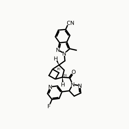 Cc1c2cc(C#N)ccc2nn1C[C@@H]1C[C@H](C(=O)N2N=CCC2c2cncc(F)c2)C2CC1C2